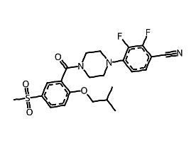 CC(C)COc1ccc(S(C)(=O)=O)cc1C(=O)N1CCN(c2ccc(C#N)c(F)c2F)CC1